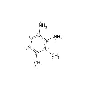 Cc1ncc(N)c(N)c1C